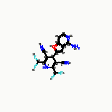 N#CC1=C(C(F)F)NC(C(F)F)=C(C#N)C1c1cc2c(N)nccc2o1